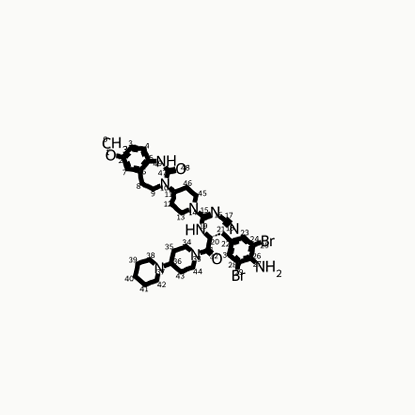 COc1ccc2c(c1)CCN(C1CCN(C(=NC#N)N[C@H](Cc3cc(Br)c(N)c(Br)c3)C(=O)N3CCC(N4CCCCC4)CC3)CC1)C(=O)N2